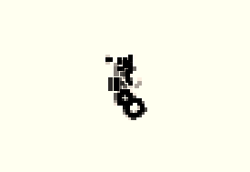 CCn1nc(C(=O)Nc2ccc3c(c2)CCCCC3)cc1C